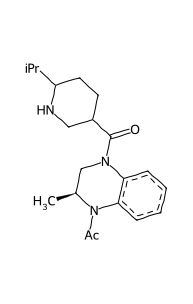 CC(=O)N1c2ccccc2N(C(=O)C2CCC(C(C)C)NC2)C[C@@H]1C